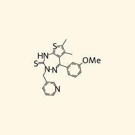 COc1cccc(C2=NN(Cc3cccnc3)C(=S)Nc3sc(C)c(C)c32)c1